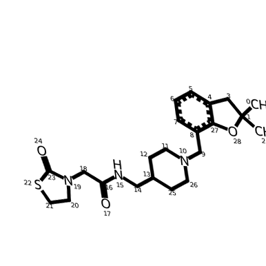 CC1(C)Cc2cccc(CN3CCC(CNC(=O)CN4CCSC4=O)CC3)c2O1